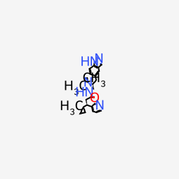 CN(C)[C@H](CNC(=O)C[C@@H](c1cccnc1)C1(C)CC1)Cc1ccc2[nH]ncc2c1